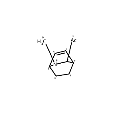 CC(=O)C1C2C=CC(CC2)N1C